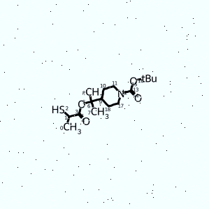 CC(S)C(=O)OC(C)(C)C1CCN(C(=O)OC(C)(C)C)CC1